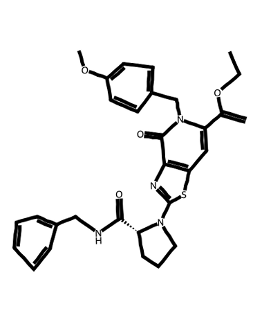 C=C(OCC)c1cc2sc(N3CCC[C@@H]3C(=O)NCc3ccccc3)nc2c(=O)n1Cc1ccc(OC)cc1